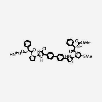 COC(=O)N[C@@H](C(=O)N1C[C@@H](SC)C[C@H]1c1ncc(-c2ccc(-c3ccc(-c4[nH]c([C@@H]5CCCN5C(=O)[C@@H](COOC=N)c5ccccc5)nc4Cl)cc3)cc2)[nH]1)c1ccccc1